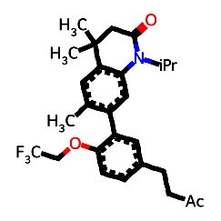 CC(=O)CCc1ccc(OCC(F)(F)F)c(-c2cc3c(cc2C)C(C)(C)CC(=O)N3C(C)C)c1